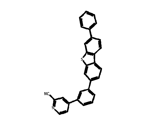 N#Cc1cc(-c2cccc(-c3ccc4c(c3)sc3cc(-c5ccccc5)ccc34)c2)ccn1